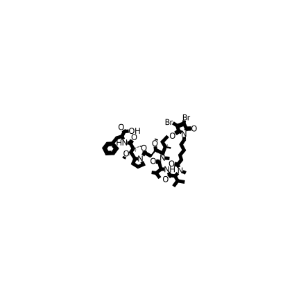 CC[C@@H](C)[C@@H]([C@@H](CC(=O)N1CCCC1[C@H](OC)[C@@H](C)C(=O)NC(Cc1ccccc1)C(=O)O)OC)N(C)C(=O)C(NC(=O)C(C(C)C)N(C)C(=O)CCCCCN1C(=O)C(Br)=C(Br)C1=O)C(C)C